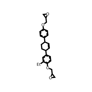 CCc1cc(C2C=CC(c3ccc(OCC4CO4)cc3)CC2)ccc1OCC1CO1